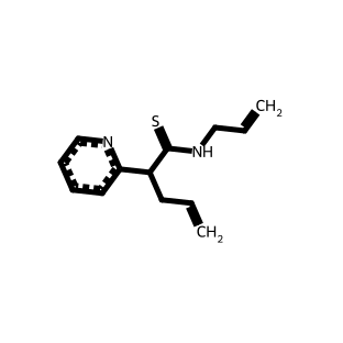 C=CCNC(=S)C(CC=C)c1ccccn1